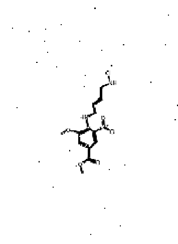 COC(=O)c1cc(OC)c(NC/C=C/CNCl)c([N+](=O)[O-])c1